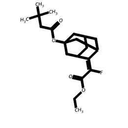 CCOC(=O)C(F)=C1C2CC3CC1CC(OC(=O)CC(C)(C)C)(C3)C2